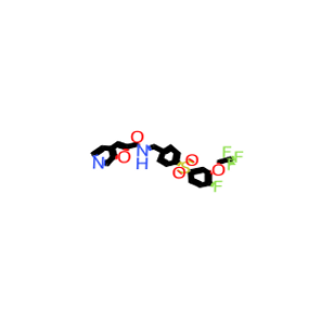 O=C(NCc1ccc(S(=O)(=O)c2ccc(F)c(OCC(F)(F)F)c2)cc1)c1cc2ccncc2o1